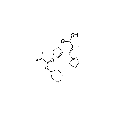 C=C(C)C(=O)OC1CCCCC1.CC(C(=O)O)=C(C1=CCCC1)C1=CCCC1